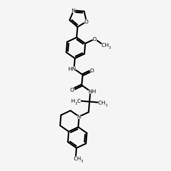 COc1cc(NC(=O)C(=O)NC(C)(C)CN2CCCc3cc(C)ccc32)ccc1-c1cnco1